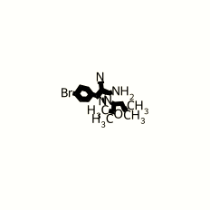 CC1(C)CC(n2nc(-c3ccc(Br)cc3)c(C#N)c2N)C(C)(C)O1